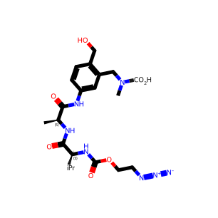 CC(C)[C@H](NC(=O)OCCN=[N+]=[N-])C(=O)N[C@@H](C)C(=O)Nc1ccc(CO)c(CN(C)C(=O)O)c1